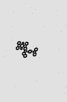 c1ccc2c(c1)-c1ccccc1C21c2ccccc2C2(c3ccccc3-c3cc4c(cc32)c2ccc3ccccc3c2n4-c2ccc(-n3c4ccccc4c4ccccc43)cc2)c2ccccc21